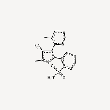 Cc1ccccc1-c1c(-c2ccccc2S(N)(=O)=O)nn(C)c1C(F)(F)F